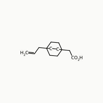 C=CCC12CCC(CC(=O)O)(CC1)CC2